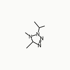 CC1N=NN(C(C)C)N1C